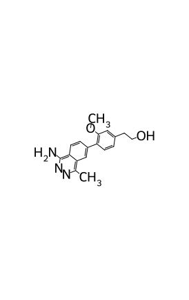 COc1cc(CCO)ccc1-c1ccc2c(N)nnc(C)c2c1